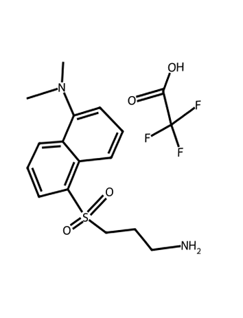 CN(C)c1cccc2c(S(=O)(=O)CCCN)cccc12.O=C(O)C(F)(F)F